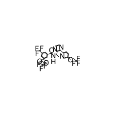 CC(NC(=O)c1cc(C(F)(F)F)cc(S(=O)(=O)C(F)(F)F)c1)c1nccnc1-c1ccc(OCC(F)(F)F)cn1